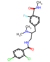 CNC(=O)c1ccc(CC(CNC(=O)c2ccc(Cl)cc2Cl)N(C)C)cc1F